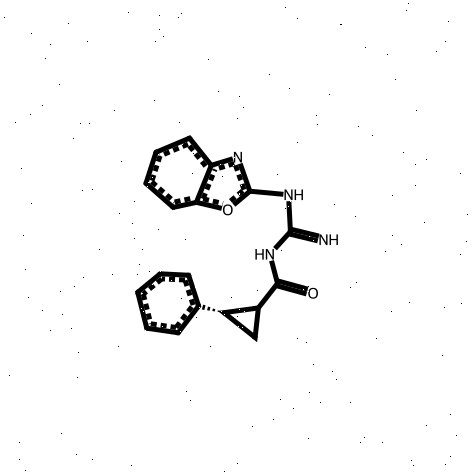 N=C(NC(=O)C1C[C@@H]1c1ccccc1)Nc1nc2ccccc2o1